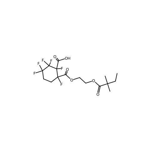 CCC(C)(C)C(=O)OCCOC(=O)C1(F)CCC(F)(F)C(F)(F)C1(F)C(=O)O